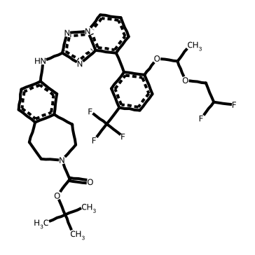 CC(OCC(F)F)Oc1ccc(C(F)(F)F)cc1-c1cccn2nc(Nc3ccc4c(c3)CCN(C(=O)OC(C)(C)C)CC4)nc12